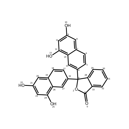 O=C1OC(c2ccc3cc(O)cc(O)c3c2)(c2ccc3cc(O)cc(O)c3c2)c2ccccc21